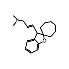 CN(C)CC=CC1c2ccccc2OC12CCCCCC2